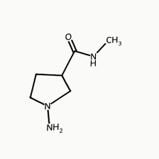 CNC(=O)C1CCN(N)C1